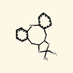 CC1(C)OC2Cc3ccccc3Pc3ccccc3CC2O1